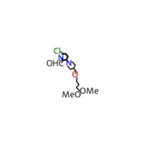 COC(CCCCOCC1CCN(c2ccc(Cl)nc2C=O)CC1)OC